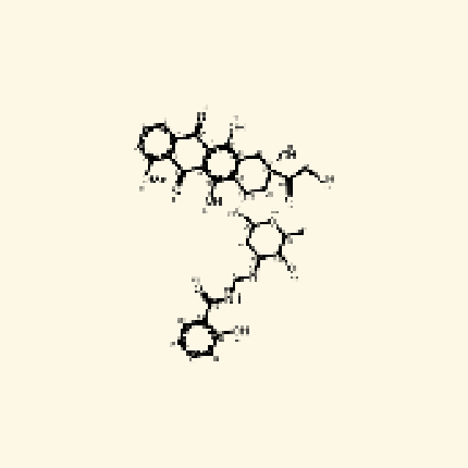 COc1cccc2c1C(=O)c1c(O)c3c(c(O)c1C2=O)C[C@@](O)(C(=O)CO)C[C@@H]3OC1CC(NCNC(=O)c2ccccc2O)C(O)C(C)O1